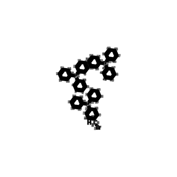 CBr.c1ccc(P(c2ccccc2)c2ccccc2)cc1.c1ccc(P(c2ccccc2)c2ccccc2)cc1.c1ccc(P(c2ccccc2)c2ccccc2)cc1